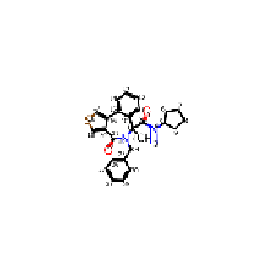 CC1(C(=O)NC2CCCC2)c2ccccc2-c2cscc2C(=O)N1Cc1ccccc1